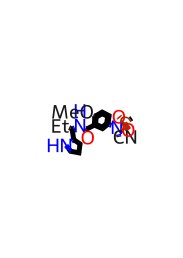 CCC(NC(=O)c1cc(N(C#N)S(C)(=O)=O)ccc1OC)C1CCCN1